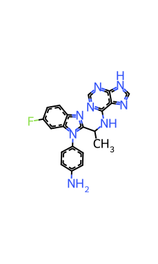 CC(Nc1ncnc2[nH]cnc12)c1nc2ccc(F)cc2n1-c1ccc(N)cc1